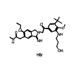 Br.CCOc1cc2c(cc1CC(=O)NC)C(=N)N(CC(=O)c1cc(NCCCO)c(OC)c(C(C)(C)C)c1)C2